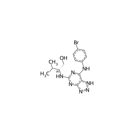 CC(C)[C@H](CO)Nc1nc(Nc2ccc(Br)cc2)c2[nH]nnc2n1